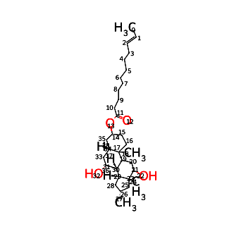 CC=CCCCCCCCCC(=O)O[C@H]1CCC2(C)C3CC(O)C4(C)C[C@H](C)C[C@@H]4[C@@H]3[C@H](O)C[C@@H]2C1